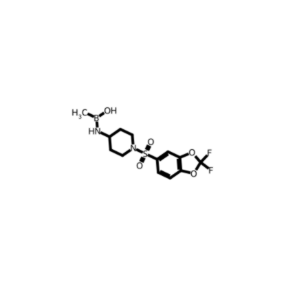 CB(O)NC1CCN(S(=O)(=O)c2ccc3c(c2)OC(F)(F)O3)CC1